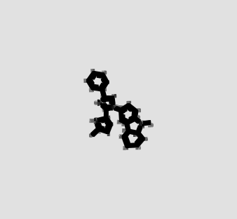 Cc1ccc(-c2nc(-c3ccccc3)cn2-c2ccc3c(c2)C2C=CC=CC2N3C)s1